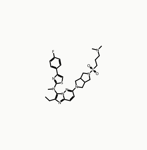 CCc1nc2ccc(N3CC4CN(S(=O)(=O)CCCN(C)C)CC4C3)nn2c1N(C)c1nc(-c2ccc(F)cc2)cs1